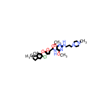 COc1nc(NCCCN2CCN(C)CC2)nc(OC)c1NC(=O)c1ccc(Oc2cc3c(cc2Cl)CC[Si]3(C)C)o1